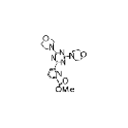 COC(=O)c1cccc(-c2nc(N3CCOCC3)nc(N3CCOCC3)n2)n1